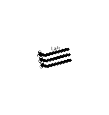 CCCCCCCCCCCCCCCCC#CC(=O)[O-].CCCCCCCCCCCCCCCCC#CC(=O)[O-].CCCCCCCCCCCCCCCCC#CC(=O)[O-].[La+3]